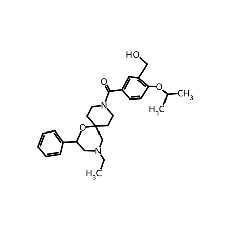 CCN1CC(c2ccccc2)OC2(CCN(C(=O)c3ccc(OC(C)C)c(CO)c3)CC2)C1